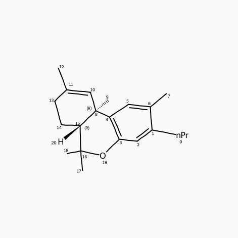 CCCc1cc2c(cc1C)[C@]1(C)C=C(C)CC[C@H]1C(C)(C)O2